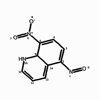 O=NC1=CC=C([N+](=O)[O-])C2NC=CC=C12